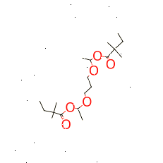 CCC(C)(C)C(=O)OC(C)OCCCOC(C)OC(=O)C(C)(C)CC